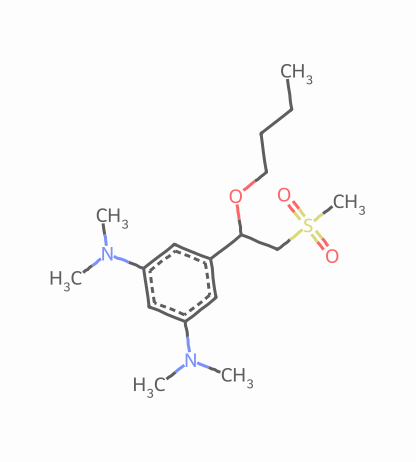 CCCCOC(CS(C)(=O)=O)c1cc(N(C)C)cc(N(C)C)c1